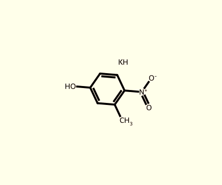 Cc1cc(O)ccc1[N+](=O)[O-].[KH]